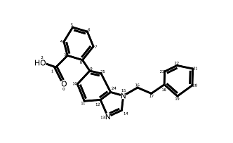 O=C(O)c1ccccc1-c1ccc2ncn(CCc3ccccc3)c2c1